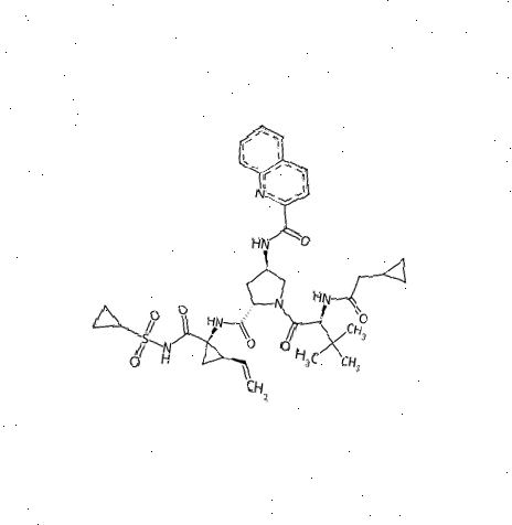 C=C[C@H]1C[C@]1(NC(=O)[C@@H]1C[C@@H](NC(=O)c2ccc3ccccc3n2)CN1C(=O)[C@@H](NC(=O)CC1CC1)C(C)(C)C)C(=O)NS(=O)(=O)C1CC1